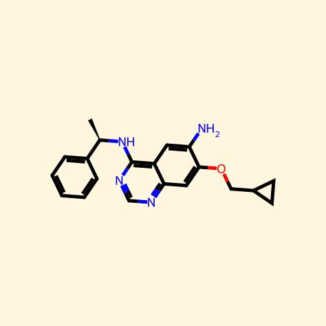 C[C@@H](Nc1ncnc2cc(OCC3CC3)c(N)cc12)c1ccccc1